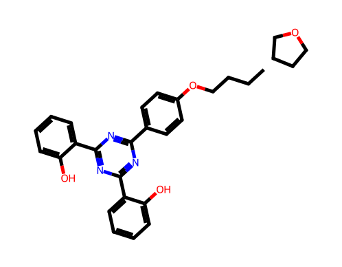 C1CCOC1.CCCCOc1ccc(-c2nc(-c3ccccc3O)nc(-c3ccccc3O)n2)cc1